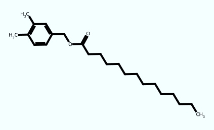 CCCCCCCCCCCCCC(=O)OCc1ccc(C)c(C)c1